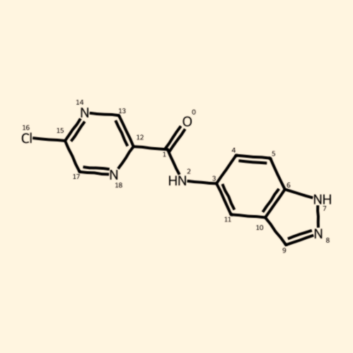 O=C(Nc1ccc2[nH]ncc2c1)c1cnc(Cl)cn1